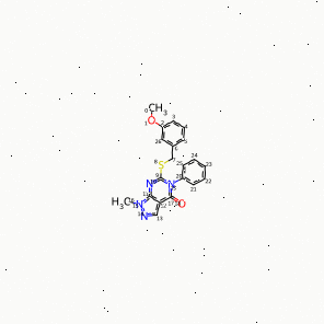 COc1cccc(CSc2nc3c(cnn3C)c(=O)n2-c2ccccc2)c1